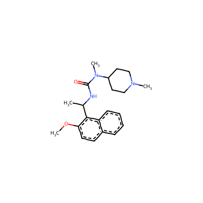 COc1ccc2ccccc2c1C(C)NC(=O)N(C)C1CCN(C)CC1